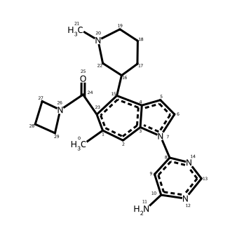 Cc1cc2c(ccn2-c2cc(N)ncn2)c(C2CCCN(C)C2)c1C(=O)N1CCC1